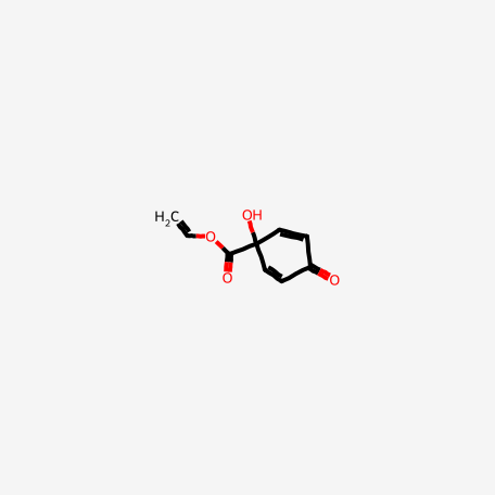 C=COC(=O)C1(O)C=CC(=O)C=C1